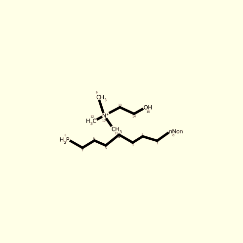 CCCCCCCCCCCCCCCCP.C[N+](C)(C)CCO